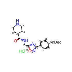 CCCCCCCCCCc1ccc(-c2noc(CNC(=O)C3CCNCC3)n2)cc1.Cl